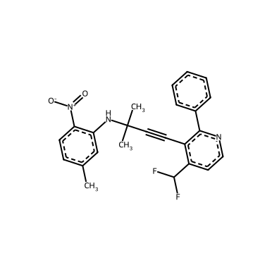 Cc1ccc([N+](=O)[O-])c(NC(C)(C)C#Cc2c(C(F)F)ccnc2-c2ccccc2)c1